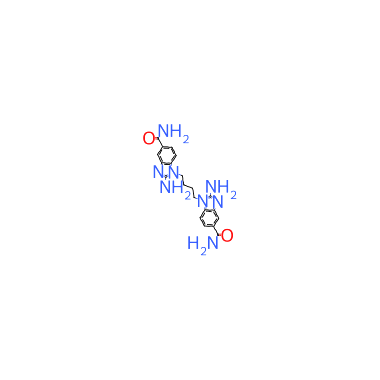 NC(=O)c1ccc2c(c1)nc(N)n2CCCCn1c(N)nc2cc(C(N)=O)ccc21